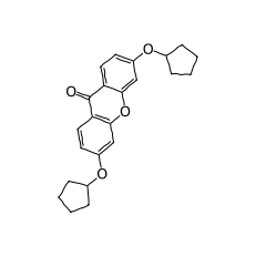 O=c1c2ccc(OC3CCCC3)cc2oc2cc(OC3CCCC3)ccc12